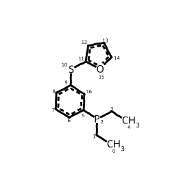 CCP(CC)c1cccc(Sc2ccco2)c1